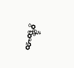 COc1cccc(O[C@@H]2COc3ccc(OCc4ccc5ccccc5n4)cc3[C@@H]2OC(=O)CN(C)C)c1